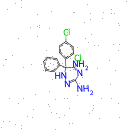 NC1=NNC(c2ccccc2)(c2ccc(Cl)cc2Cl)C(N)=N1